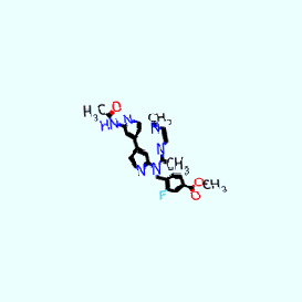 C=N/C=C\N=C(/C)N(Cc1ccc(C(=O)OC)cc1F)c1cc(-c2ccnc(NC(C)=O)c2)ccn1